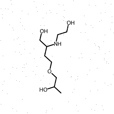 CC(O)COCCC(CO)NCCO